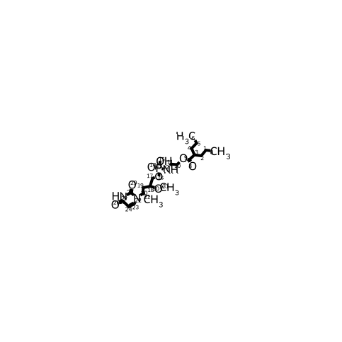 CCCC(CCC)C(=O)OCCNP(=O)(O)OCC(CC(C)n1ccc(=O)[nH]c1=O)OC